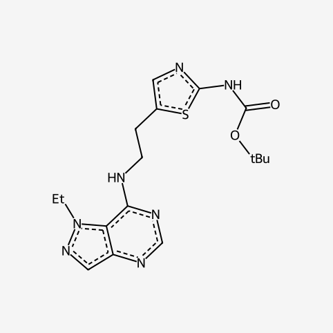 CCn1ncc2ncnc(NCCc3cnc(NC(=O)OC(C)(C)C)s3)c21